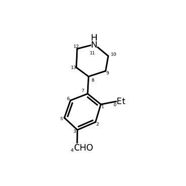 CCc1cc(C=O)ccc1C1CCNCC1